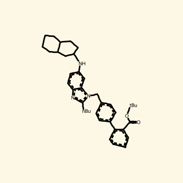 CCCCc1nc2ccc(NC3CCC4CCCCC4C3)cc2n1Cc1ccc(-c2ccccc2C(=O)OC(C)(C)C)cc1